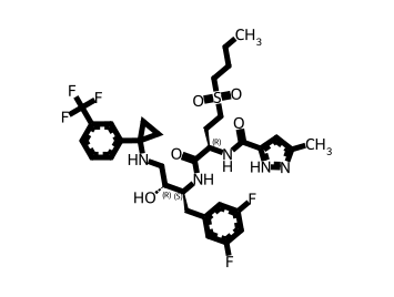 CCCCS(=O)(=O)CC[C@@H](NC(=O)c1cc(C)n[nH]1)C(=O)N[C@@H](Cc1cc(F)cc(F)c1)[C@H](O)CNC1(c2cccc(C(F)(F)F)c2)CC1